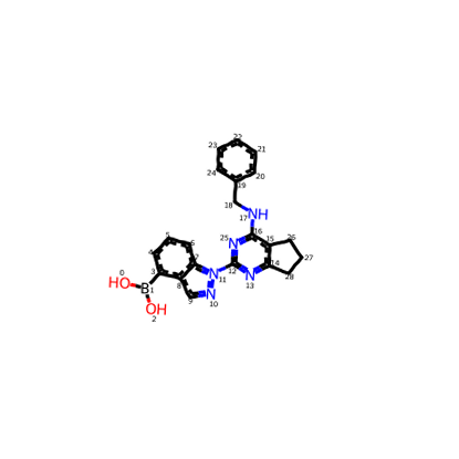 OB(O)c1cccc2c1cnn2-c1nc2c(c(NCc3ccccc3)n1)CCC2